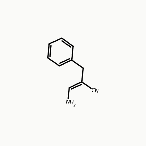 N#CC(=CN)Cc1ccccc1